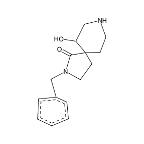 O=C1N(Cc2ccccc2)CCC12CCNCC2O